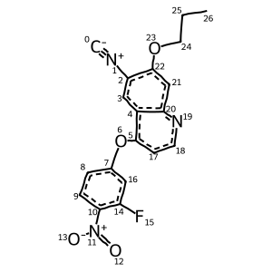 [C-]#[N+]c1cc2c(Oc3ccc([N+](=O)[O-])c(F)c3)ccnc2cc1OCCC